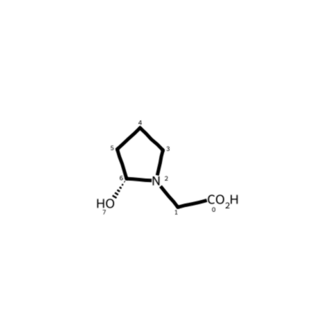 O=C(O)CN1CCC[C@H]1O